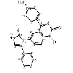 CCn1c(=O)cc(C2=CCN(C)CC2)c2cc(-n3c(-c4ccccc4)c[nH]c3=O)ccc21